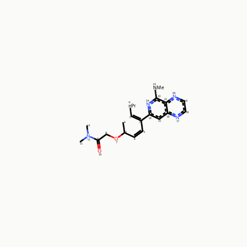 CCCC=C(/C=C\C(C)OCC(=O)N(C)C)c1cc2nccnc2c(NC)n1